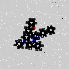 c1ccc(-c2ccc(-c3cc(-c4cccc5c4oc4ccccc45)nc(-n4c5ccccc5c5ccc6c(c7ccccc7n6-c6ccccc6)c54)n3)cc2)cc1